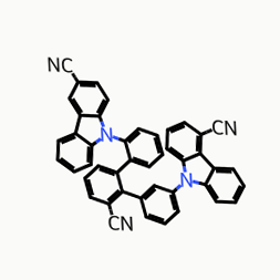 N#Cc1ccc2c(c1)c1ccccc1n2-c1ccccc1-c1cccc(C#N)c1-c1cccc(-n2c3ccccc3c3c(C#N)cccc32)c1